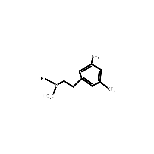 CC(C)(C)N(CCc1cc(N)cc(C(F)(F)F)c1)C(=O)O